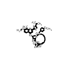 COc1ccc(CN2CCCCC/C=C\[C@@H]3C[C@@]3(C(=O)O)NC(=O)[C@@H]3C[C@@H](Oc4cc(-c5nc(C(C)C)cs5)nc5c(C)c(OC)ccc45)CN3C2=O)cc1